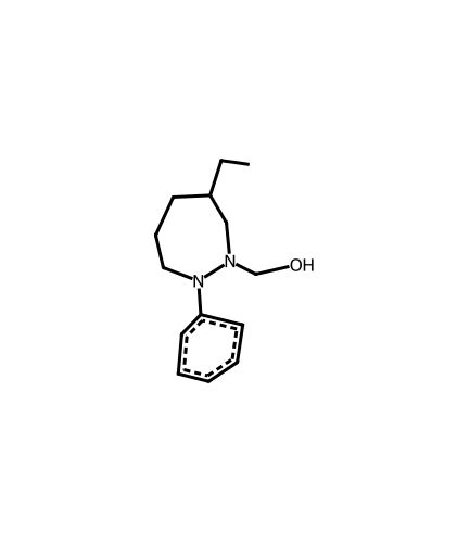 CCC1CCCN(c2ccccc2)N(CO)C1